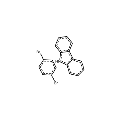 Brc1ccc(Br)cc1.c1ccc2c(c1)[nH]c1ccccc12